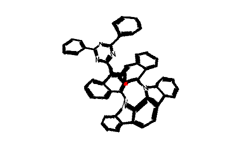 C1=CC2c3ccc4c5ccccc5n(-c5ccc(-c6nc(-c7ccccc7)nc(-c7ccccc7)n6)c6ccccc56)c4c3N(c3cccc4ccccc34)C2C=C1